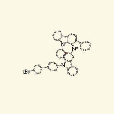 CC(C)(C)c1ccc(-c2ccc(-n3c4ccccc4c4cc(-n5c6ccccc6c6ccc7c8ccccc8n(-c8ccccc8)c7c65)ccc43)cc2)cc1